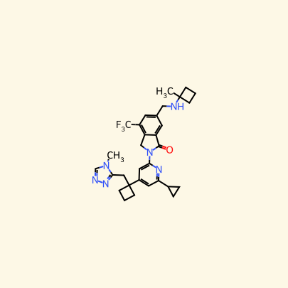 Cn1cnnc1CC1(c2cc(C3CC3)nc(N3Cc4c(cc(CNC5(C)CCC5)cc4C(F)(F)F)C3=O)c2)CCC1